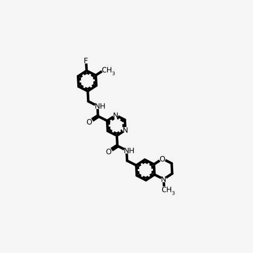 Cc1cc(CNC(=O)c2cc(C(=O)NCc3ccc4c(c3)OCCN4C)ncn2)ccc1F